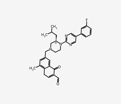 Cc1cc(CN2CCN(c3ncc(-c4cccc(F)c4)cn3)[C@H](CC(C)C)C2)cc2c1CC=C(C=O)C2=O